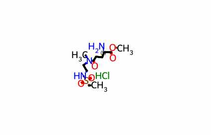 CCS(=O)(=O)NCCN(C)C(=O)CC[C@H](N)C(=O)OC.Cl